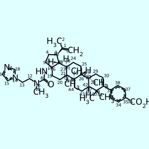 C=C(C)[C@@H]1CC[C@]2(NC(=O)N(C)CCn3ccnc3)CC[C@]3(C)[C@H](CC[C@@H]4[C@@]5(C)CC=C(c6ccc(C(=O)O)cc6)C(C)(C)[C@@H]5CC[C@]43C)[C@@H]12